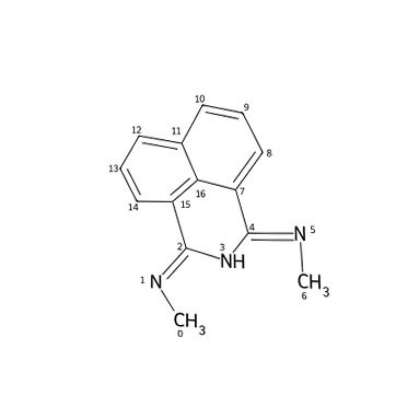 C/N=C1\N/C(=N\C)c2cccc3cccc1c23